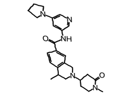 CC1CN(C2CCN(C)C(=O)C2)Cc2cc(C(=O)Nc3cncc(N4CCCC4)c3)ccc21